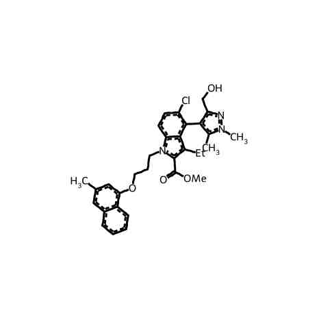 CCc1c(C(=O)OC)n(CCCOc2cc(C)cc3ccccc23)c2ccc(Cl)c(-c3c(CO)nn(C)c3C)c12